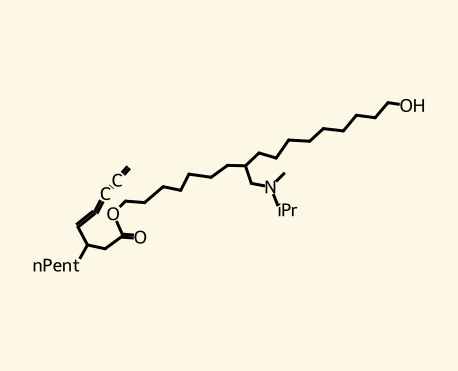 C=C=C=C=CC(CCCCC)CC(=O)OCCCCCCCC(CCCCCCCCCO)CN(C)C(C)C